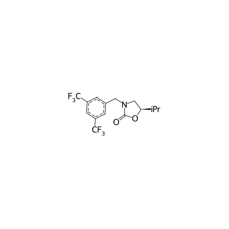 CC(C)[C@@H]1CN(Cc2cc(C(F)(F)F)cc(C(F)(F)F)c2)C(=O)O1